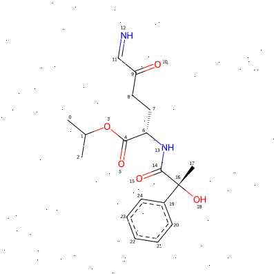 CC(C)OC(=O)[C@H](CCC(=O)C=N)NC(=O)[C@](C)(O)c1ccccc1